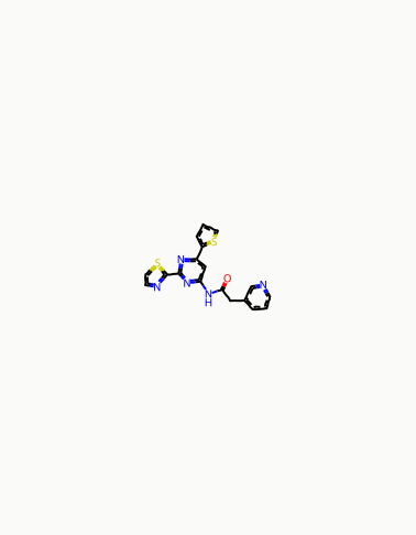 O=C(Cc1cccnc1)Nc1cc(-c2cccs2)nc(-c2nccs2)n1